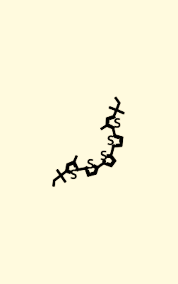 CCC(C)(C)c1cc(C)c(-c2ccc(-c3ccc(-c4ccc(-c5sc(C(C)(C)CC)cc5C)s4)s3)s2)s1